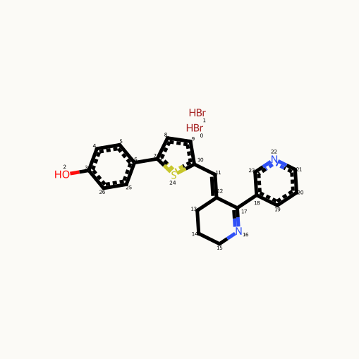 Br.Br.Oc1ccc(-c2ccc(C=C3CCCN=C3c3cccnc3)s2)cc1